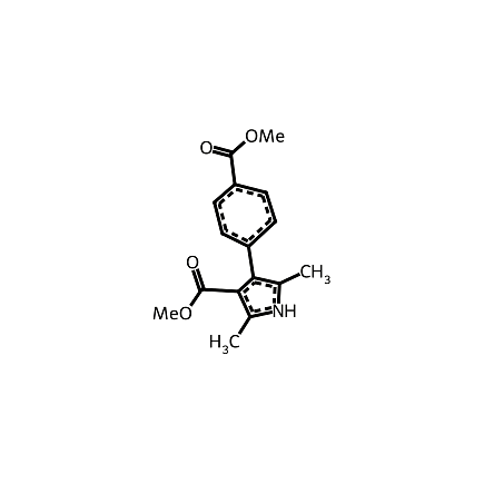 COC(=O)c1ccc(-c2c(C)[nH]c(C)c2C(=O)OC)cc1